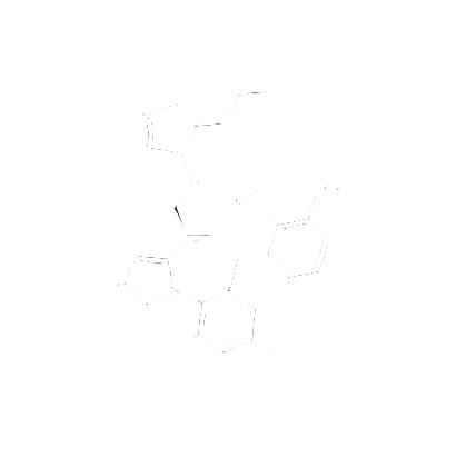 CCOC(=O)CSc1nnnn1CC[C@H]1O[C@H](c2cccc(OC)c2OC)c2cc(Cl)ccc2-n2cccc21